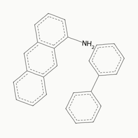 Nc1cccc2cc3ccccc3cc12.c1ccc(-c2ccccc2)cc1